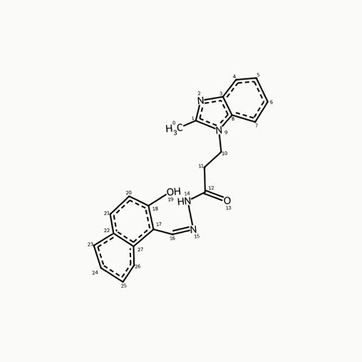 Cc1nc2ccccc2n1CCC(=O)N/N=C\c1c(O)ccc2ccccc12